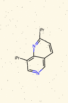 CC(C)c1ccc2cncc(C(C)C)c2n1